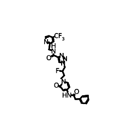 O=C(Cc1ccccc1)Nc1ccn(CCC(F)Cn2cc(C(=O)NCc3cc(C(F)(F)F)ccn3)nn2)c(=O)c1